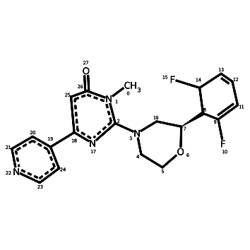 Cn1c(N2CCO[C@H](C3C(F)=CC=CC3F)C2)nc(-c2ccncc2)cc1=O